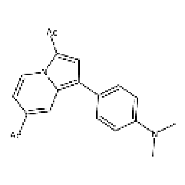 CC(=O)c1ccn2c(C(C)=O)cc(-c3ccc(N(C)C)cc3)c2c1